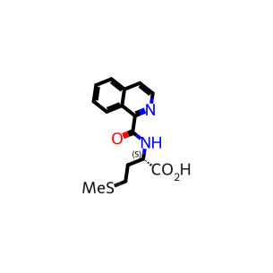 CSCC[C@H](NC(=O)c1nccc2ccccc12)C(=O)O